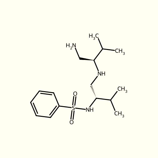 CC(C)[C@H](CN)NC[C@@H](NS(=O)(=O)c1ccccc1)C(C)C